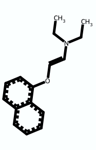 CCN(C=COc1cccc2ccccc12)CC